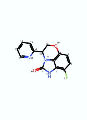 O=c1[nH]c2c(F)ccc3c2n1C(c1ccccn1)CO3